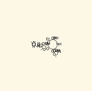 CC[C@@H]1OC(=O)[C@H](C)[C@H](O[C@H]2C[C@@H](OC)[C@](O)(CNCc3cnc(C)cn3)[C@H](C)O2)[C@@H](C)[C@@H](O[C@@H]2O[C@H](C)C[C@H](N(C)C)[C@H]2O)[C@](C)(O)C[C@@H](C)NC[C@@H](C)[C@H](O)[C@]1(C)O